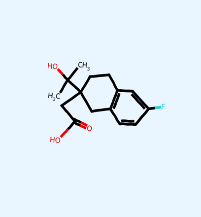 CC(C)(O)C1(CC(=O)O)CCc2cc(F)ccc2C1